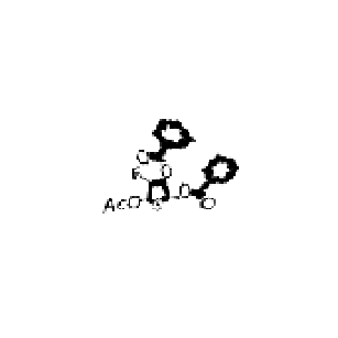 CC(=O)O[C@H]1S[C@@H](COC(=O)c2ccccc2)[C@@H](OC(=O)c2ccccc2)[C@H]1F